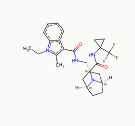 CCn1c(C)c(C(=O)NC[C@@H]2C[C@H]3CC[C@@H](C2)N3CC(=O)NC2(C(F)(F)F)CC2)c2ccccc21